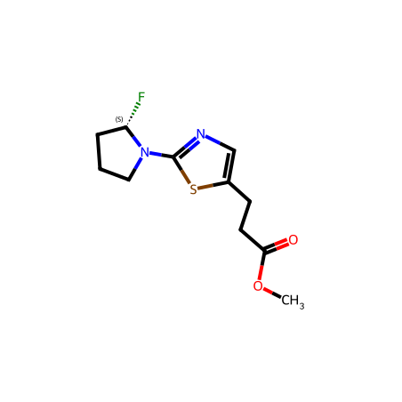 COC(=O)CCc1cnc(N2CCC[C@@H]2F)s1